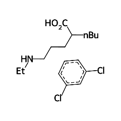 CCCCC(CCCNCC)C(=O)O.Clc1cccc(Cl)c1